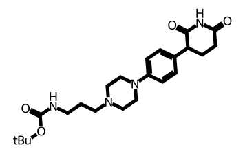 CC(C)(C)OC(=O)NCCCN1CCN(c2ccc(C3CCC(=O)NC3=O)cc2)CC1